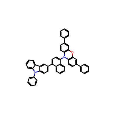 c1ccc(-c2ccc3c(c2)Oc2cc(-c4ccccc4)ccc2N3c2ccc(-c3ccc4c(c3)c3ccccc3n4-c3ccccc3)c3ccccc23)cc1